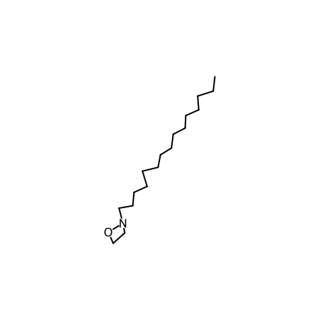 CCCCCCCCCCCCCCCN1CCO1